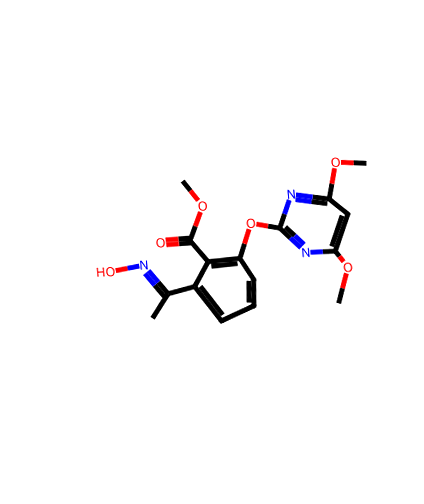 COC(=O)c1c(Oc2nc(OC)cc(OC)n2)cccc1/C(C)=N/O